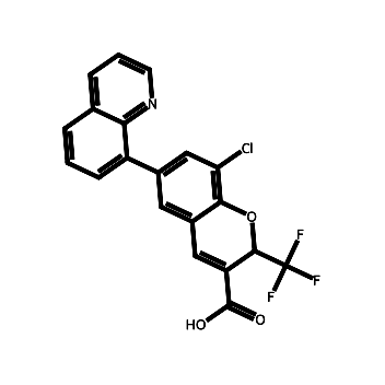 O=C(O)C1=Cc2cc(-c3cccc4cccnc34)cc(Cl)c2OC1C(F)(F)F